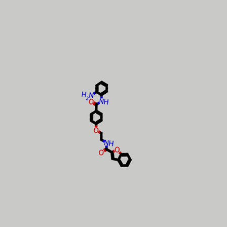 Nc1ccccc1NC(=O)c1ccc(OCCNC(=O)c2cc3ccccc3o2)cc1